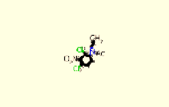 C=CCN(C(C)=O)c1ccc(Cl)c([N+](=O)[O-])c1Cl